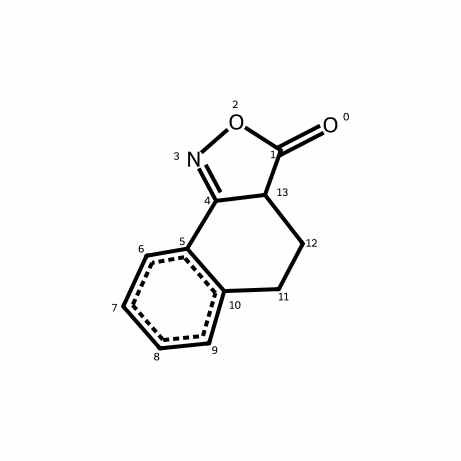 O=C1ON=C2c3ccccc3CCC12